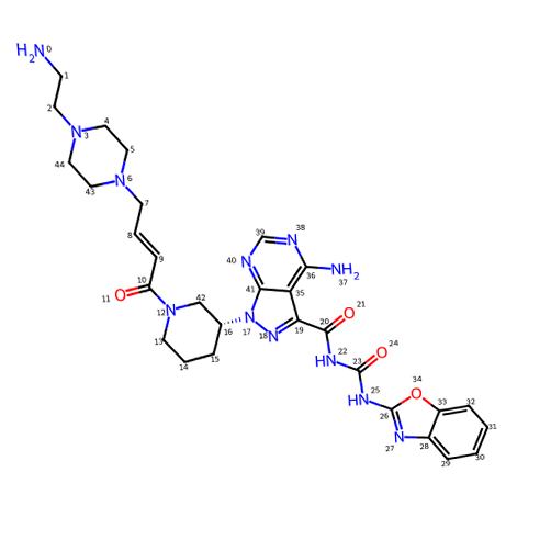 NCCN1CCN(C/C=C/C(=O)N2CCC[C@@H](n3nc(C(=O)NC(=O)Nc4nc5ccccc5o4)c4c(N)ncnc43)C2)CC1